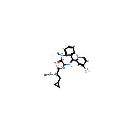 CCCCC[C@@H](CC1CC1)C(=O)NC1N=C(c2cc(C(F)(F)F)ccn2)c2ccccc2N(C)C1=O